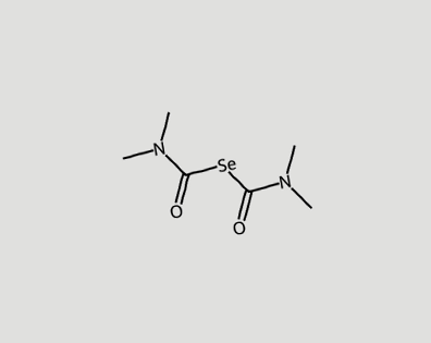 CN(C)C(=O)[Se]C(=O)N(C)C